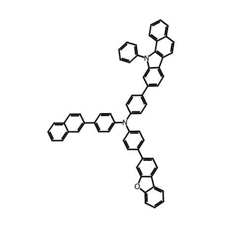 c1ccc(-n2c3cc(-c4ccc(N(c5ccc(-c6ccc7ccccc7c6)cc5)c5ccc(-c6ccc7c(c6)oc6ccccc67)cc5)cc4)ccc3c3ccc4ccccc4c32)cc1